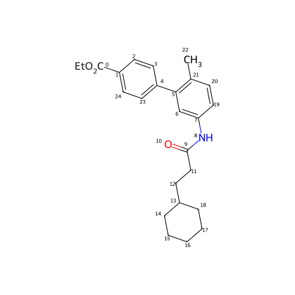 CCOC(=O)c1ccc(-c2cc(NC(=O)CCC3CCCCC3)ccc2C)cc1